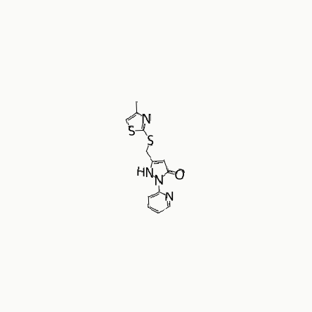 Cc1csc(SCc2cc(=O)n(-c3ccccn3)[nH]2)n1